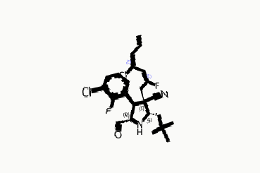 C=C/C=C(Cl)\C=C(\F)C[C@]1(C#N)C(c2cccc(Cl)c2F)[C@H](C=O)N[C@H]1CC(C)(C)C